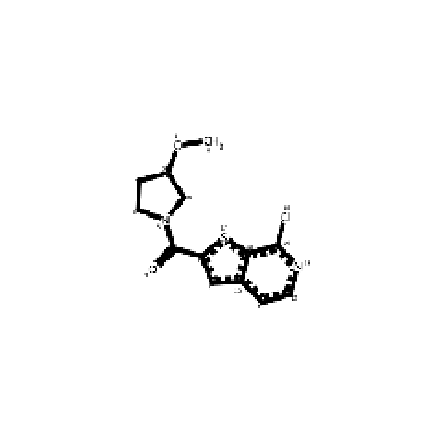 COC1CCN(C(=O)c2cc3ccnc(Cl)c3s2)C1